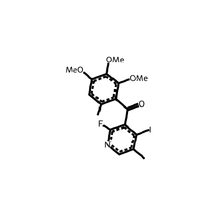 COc1cc(C)c(C(=O)c2c(F)ncc(C)c2I)c(OC)c1OC